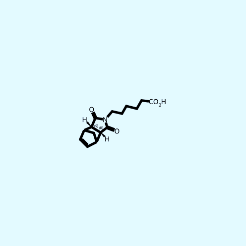 O=C(O)CCCCCN1C(=O)[C@@H]2C3C=CC(C3)[C@@H]2C1=O